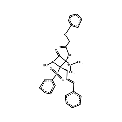 C[SiH](C)[C@@]1(NC(=O)COc2ccccc2)C(=O)N(C(C)(C)C)[C@@]1(C/C=C/c1ccccc1)S(=O)(=O)c1ccccc1